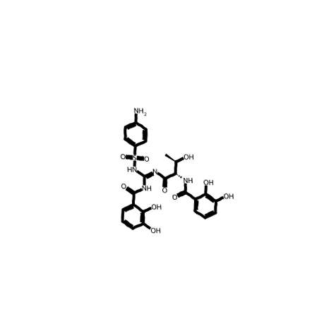 C[C@@H](O)[C@H](NC(=O)c1cccc(O)c1O)C(=O)/N=C(\NC(=O)c1cccc(O)c1O)NS(=O)(=O)c1ccc(N)cc1